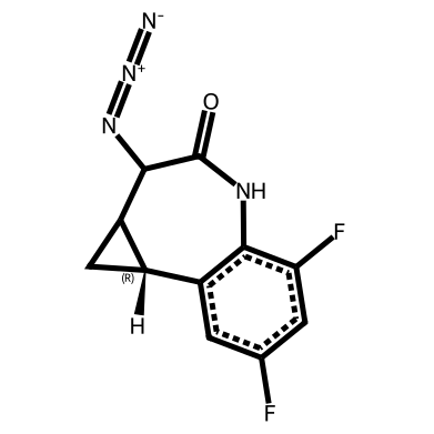 [N-]=[N+]=NC1C(=O)Nc2c(F)cc(F)cc2[C@@H]2CC12